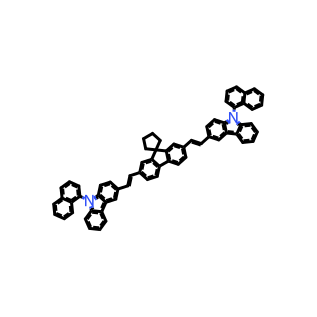 C(=C\c1ccc2c(c1)c1ccccc1n2-c1cccc2ccccc12)/c1ccc2c(c1)C1(CCCC1)c1cc(/C=C/c3ccc4c(c3)c3ccccc3n4-c3cccc4ccccc34)ccc1-2